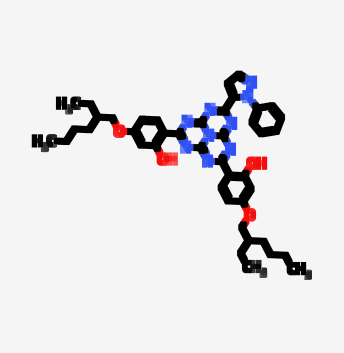 CCCCC(CC)COc1ccc(C2=NC3=NC(c4ccc(OCC(CC)CCCC)cc4O)=NC4=NC(c5ccnn5-c5ccccc5)=NC(=N2)N34)c(O)c1